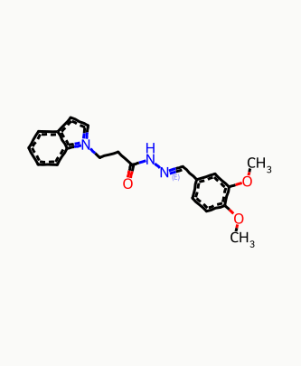 COc1ccc(/C=N/NC(=O)CCn2ccc3ccccc32)cc1OC